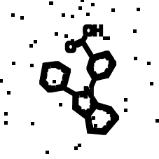 O=C(O)c1cccc(-n2c(-c3ccccc3)cc3ccccc32)c1